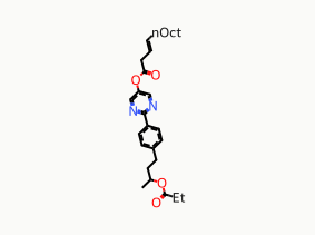 CCCCCCCCC=CCC(=O)Oc1cnc(-c2ccc(CCC(C)OC(=O)CC)cc2)nc1